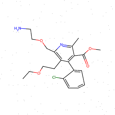 CCOCCc1c(COCCN)nc(C)c(C(=O)OC)c1-c1ccccc1Cl